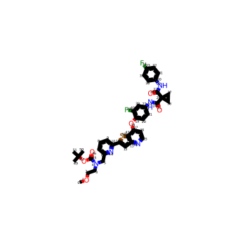 COCCN(Cc1cccc(-c2cc3nccc(Oc4ccc(NC(=O)C5(C(=O)Nc6ccc(F)cc6)CC5)cc4F)c3s2)n1)C(=O)OC(C)(C)C